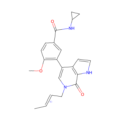 C/C=C/Cn1cc(-c2cc(C(=O)NC3CC3)ccc2OC)c2cc[nH]c2c1=O